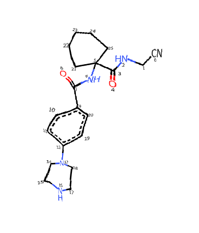 N#CCNC(=O)C1(NC(=O)c2ccc(N3CCNCC3)cc2)CCCCC1